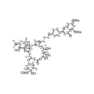 CC[C@H]1OC(=O)[C@H](C)[C@@H](O[C@H]2C[C@@](C)(OC)[C@@H](O)[C@H](C)O2)[C@H](C)[C@@H](O[C@@H]2O[C@H](C)C[C@H](N(C)C)[C@H]2O)[C@](C)(O)C[C@@H](C)C(NCCCOc2ccc(-c3cc(=O)c4c(OC)cc(OC)cc4o3)cc2)[C@H](C)[C@@H](O)[C@]1(C)O